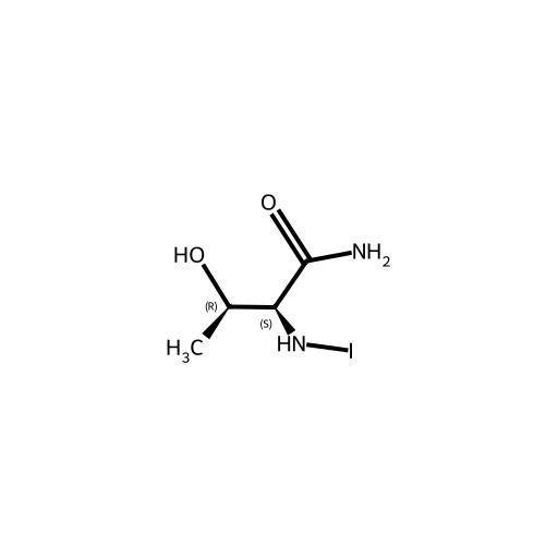 C[C@@H](O)[C@H](NI)C(N)=O